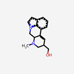 CN1CC(CO)C=C2c3cccc4ccn(c34)CC21